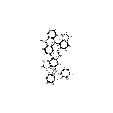 COc1ccccc1P(c1ccccc1OCc1cc2c(c(P(c3ccccc3)c3ccccc3)c1)OCC2)c1cccc2c1OCC2